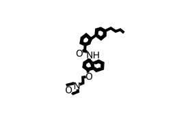 CCCCc1ccc(-c2cccc(C(=O)Nc3ccc(OCCN4CCOCC4)c4ccccc34)c2)cc1